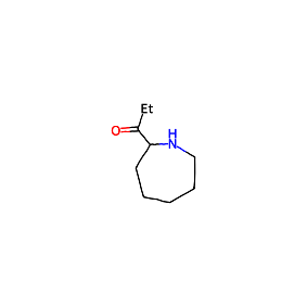 [CH]CC(=O)C1CCCCCN1